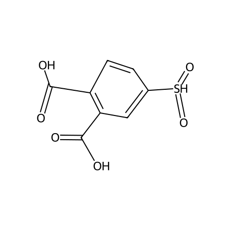 O=C(O)c1ccc([SH](=O)=O)cc1C(=O)O